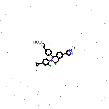 CCn1cc(-c2ccc3c(c2)C[C@H](C)N(c2ccc(C4CC4)cc2F)[C@H]3c2ccc(/C=C/C(=O)O)cc2)cn1